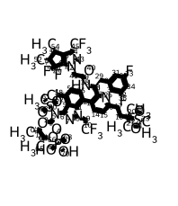 C[C@H](OC(=O)N(c1nn(CC(F)(F)F)c2c(-c3ccc(CCC(C)(C)S(C)(=O)=O)nc3[C@H](Cc3cc(F)cc(F)c3)NC(=O)Cn3nc(C(F)(F)F)c4c3C(F)(F)[C@H](C)[C@@H]4C)ccc(Cl)c12)S(C)(=O)=O)[C@H](C)OP(=O)(O)O